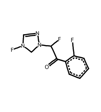 O=C(c1ccccc1F)C(F)N1CN(F)C=N1